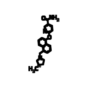 C[C@H]1CCN(Cc2cccc3c(Oc4ccc(C(N)=O)cn4)cccc23)C1